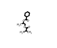 C[C](COC(=O)C(C)N)OC(=O)C1CCCCC1